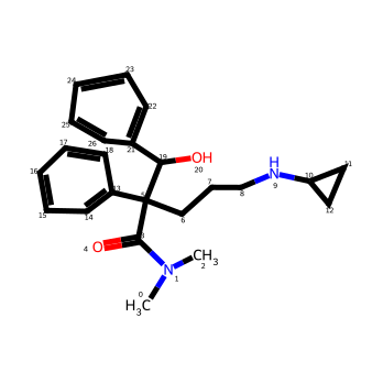 CN(C)C(=O)C(CCCNC1CC1)(c1ccccc1)C(O)c1ccccc1